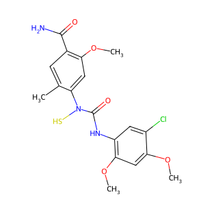 COc1cc(OC)c(NC(=O)N(S)c2cc(OC)c(C(N)=O)cc2C)cc1Cl